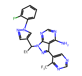 CCC(c1cnn(-c2ccccc2F)c1)n1nc(-c2cncnc2C(F)(F)F)c2c(N)ncnc21